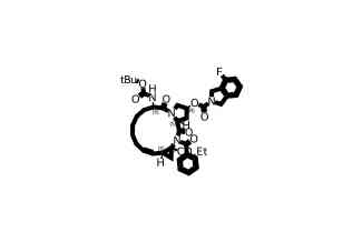 CCOC(=O)[C@@]12C[C@H]1C=CCCCCC[C@H](NC(=O)OC(C)(C)C)C(=O)N1C[C@H](OC(=O)N3Cc4cccc(F)c4C3)C[C@H]1C(=O)N2C(=O)c1ccccc1